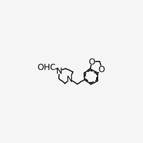 O=CN1CCN(Cc2ccc3c(c2)OCO3)CC1